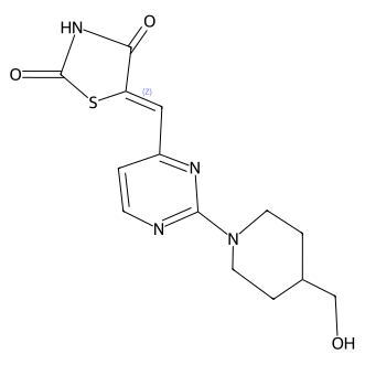 O=C1NC(=O)/C(=C/c2ccnc(N3CCC(CO)CC3)n2)S1